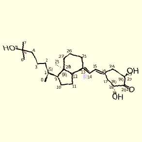 C[C@@H](CCCC(C)(C)O)C1CCC2/C(=C/C=C3C[C@@H](O)C(=O)[C@H](O)C3)CCC[C@@]21C